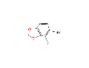 CC(C)c1ccc2c(c1F)OCO2